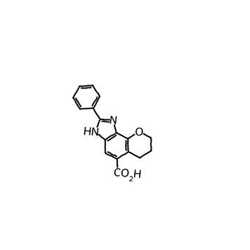 O=C(O)c1cc2[nH]c(-c3ccccc3)nc2c2c1CCCO2